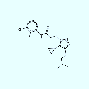 Cc1c(Cl)cccc1NC(=O)CCc1nnc(CCC(C)C)n1C1CC1